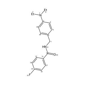 CCN(CC)c1ccc(CNC(=O)c2ccc(F)cc2)cc1